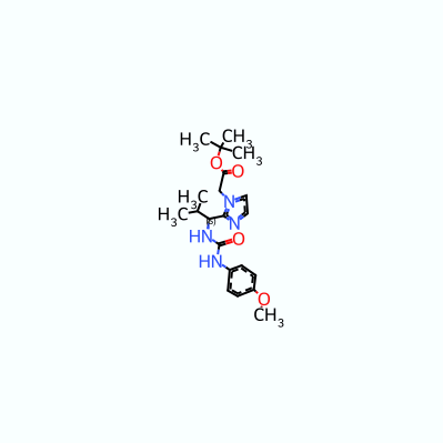 COc1ccc(NC(=O)N[C@H](c2nccn2CC(=O)OC(C)(C)C)C(C)C)cc1